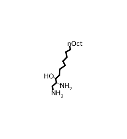 CCCCCCCCCCCCCCC[C@@H](O)[C@H](N)CN